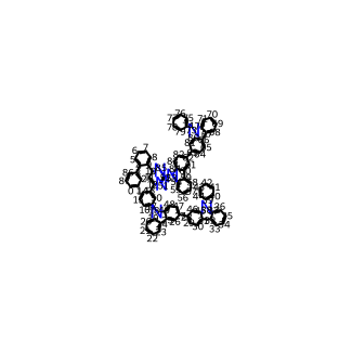 c1ccc(-c2ccccc2-c2cc(-c3cccc(-n4c5ccccc5c5cc(-c6ccc7c8ccccc8n(-c8ccccc8)c7c6)ccc54)c3)nc(-n3c4ccccc4c4cc(-c5ccc6c7ccccc7n(-c7ccccc7)c6c5)ccc43)n2)cc1